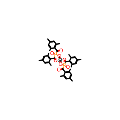 Cc1cc(C)c(C(=O)P(=O)(O[Si](C)(C)OP(=O)(C(=O)c2c(C)cc(C)cc2C)C(=O)c2c(C)cc(C)cc2C)C(=O)c2c(C)cc(C)cc2C)c(C)c1